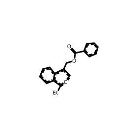 CCc1ccc(COC(=O)c2ccccc2)c2ccccc12